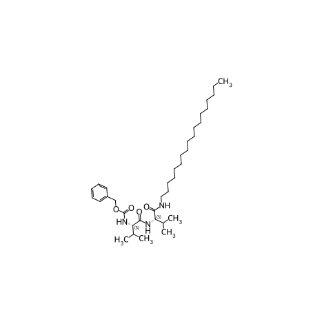 CCCCCCCCCCCCCCCCCCNC(=O)[C@@H](NC(=O)[C@@H](NC(=O)OCc1ccccc1)C(C)C)C(C)C